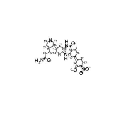 COc1cc(-c2ccc3c(c2)Nc2ccc(-c4cnccc4CCC(N)=O)cc2NC3=O)ccc1[N+](=O)[O-]